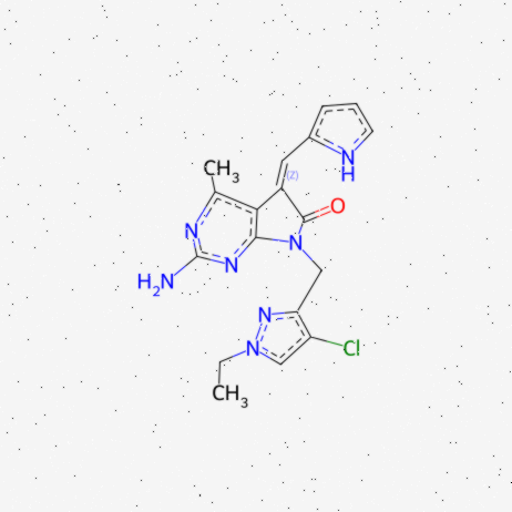 CCn1cc(Cl)c(CN2C(=O)/C(=C\c3ccc[nH]3)c3c(C)nc(N)nc32)n1